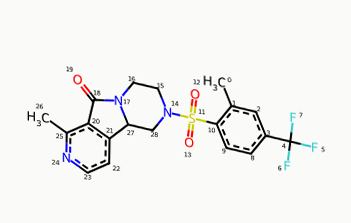 Cc1cc(C(F)(F)F)ccc1S(=O)(=O)N1CCN2C(=O)c3c(ccnc3C)C2C1